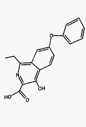 CCc1nc(C(=O)O)c(O)c2ccc(Oc3ccccc3)cc12